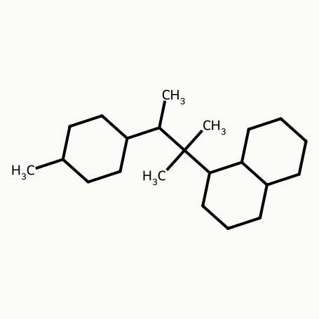 CC1CCC(C(C)C(C)(C)C2CCCC3CCCCC32)CC1